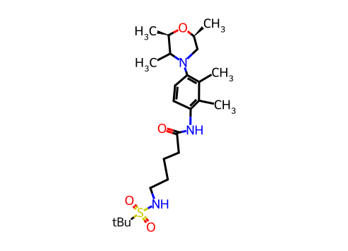 Cc1c(NC(=O)CCCCNS(=O)(=O)C(C)(C)C)ccc(N2C[C@H](C)O[C@H](C)C2C)c1C